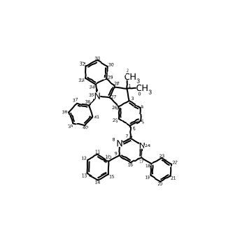 CC1(C)c2ccc(-c3nc(-c4ccccc4)cc(-c4ccccc4)n3)cc2-c2c1c1ccccc1n2-c1ccccc1